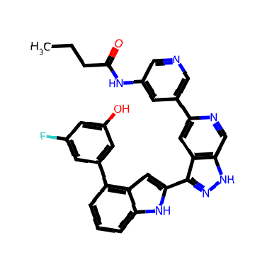 CCCC(=O)Nc1cncc(-c2cc3c(-c4cc5c(-c6cc(O)cc(F)c6)cccc5[nH]4)n[nH]c3cn2)c1